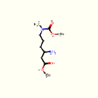 CN(CCCC(N)CC(=O)OC(C)(C)C)C(=O)OC(C)(C)C